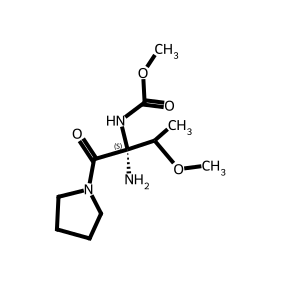 COC(=O)N[C@](N)(C(=O)N1CCCC1)C(C)OC